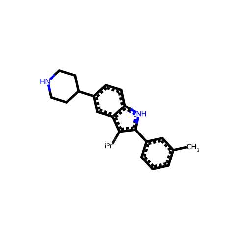 Cc1cccc(-c2[nH]c3ccc(C4CCNCC4)cc3c2C(C)C)c1